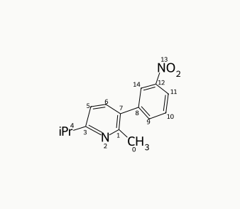 Cc1nc(C(C)C)ccc1-c1cccc([N+](=O)[O-])c1